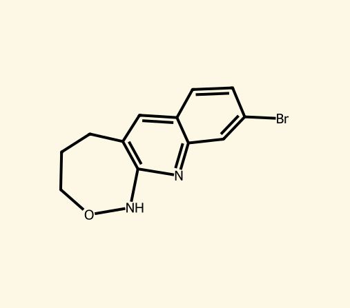 Brc1ccc2cc3c(nc2c1)NOCCC3